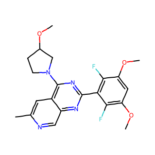 COc1cc(OC)c(F)c(-c2nc(N3CCC(OC)C3)c3cc(C)ncc3n2)c1F